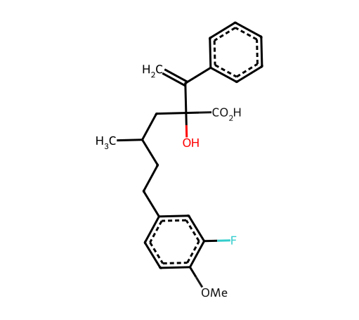 C=C(c1ccccc1)C(O)(CC(C)CCc1ccc(OC)c(F)c1)C(=O)O